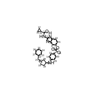 O=C(Nc1nc2cc(OS(=O)(=O)c3ccc(NC4CCN(Cc5ccccc5)C4)cc3)ccc2[nH]1)C1CC1